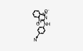 N#Cc1ccc(Nc2n[n+]([O-])c3ccccc3[n+]2[O-])cc1